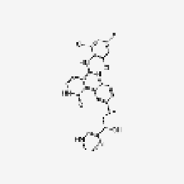 O=c1[nH]ccc2c(Nc3c(Cl)cc(F)cc3Cl)nc3ccc(NCC(O)C4=CNCC=N4)cc3c12